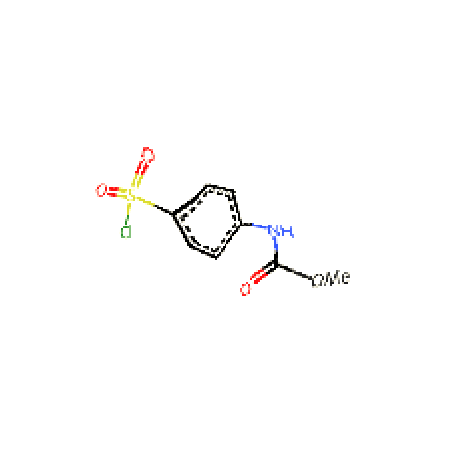 COC(=O)Nc1ccc(S(=O)(=O)Cl)cc1